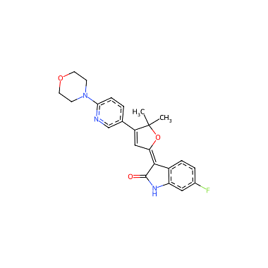 CC1(C)O/C(=C2/C(=O)Nc3cc(F)ccc32)C=C1c1ccc(N2CCOCC2)nc1